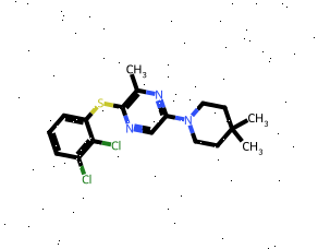 Cc1nc(N2CCC(C)(C)CC2)cnc1Sc1cccc(Cl)c1Cl